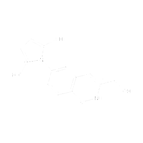 Cc1ccc(C)n1-c1ccc2c(c1)C=C(CO)NO2